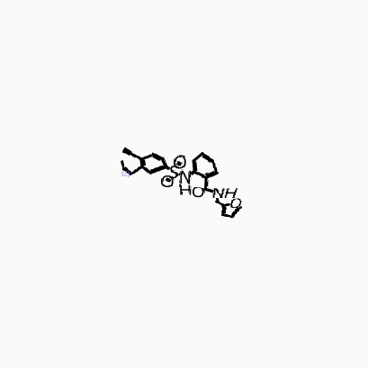 C#Cc1ccc(S(=O)(=O)Nc2ccccc2C(=O)NCc2ccco2)cc1/C=C\C